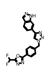 FC(F)c1nnc(-c2ccc(Cn3cc(-c4ccc5cn[nH]c5c4)nn3)cc2)o1